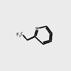 FC(F)(F)CC1=NC=C=C=C1